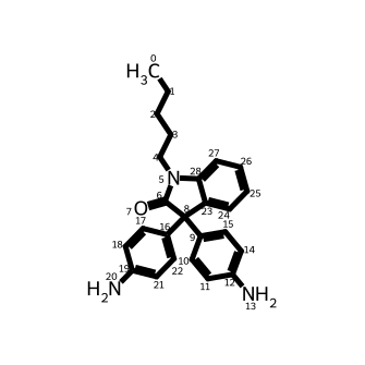 CCCCCN1C(=O)C(c2ccc(N)cc2)(c2ccc(N)cc2)c2ccccc21